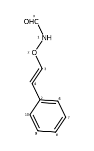 O=CNOC=Cc1ccccc1